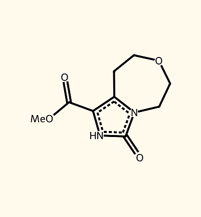 COC(=O)c1[nH]c(=O)n2c1CCOCC2